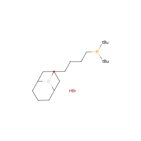 Br.CC(C)(C)P(CCCCCB1C2CCCC1CCC2)C(C)(C)C